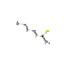 C=C(S)C=CC=CCC